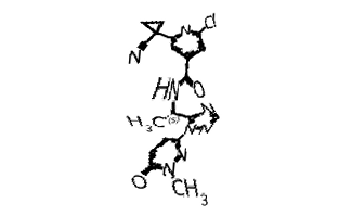 C[C@H](NC(=O)c1cc(Cl)nc(C2(C#N)CC2)c1)c1ncnn1-c1ccc(=O)n(C)n1